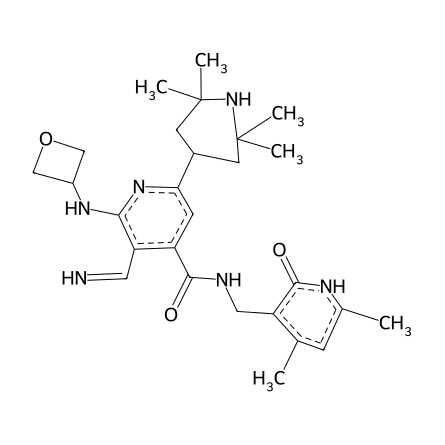 Cc1cc(C)c(CNC(=O)c2cc(C3CC(C)(C)NC(C)(C)C3)nc(NC3COC3)c2C=N)c(=O)[nH]1